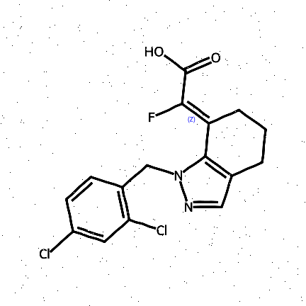 O=C(O)/C(F)=C1\CCCc2cnn(Cc3ccc(Cl)cc3Cl)c21